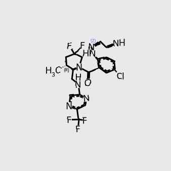 C[C@@H]1CC(F)(F)CN(C(=O)c2cc(Cl)ccc2N/N=C\C=N)C1CNc1cnc(C(F)(F)F)cn1